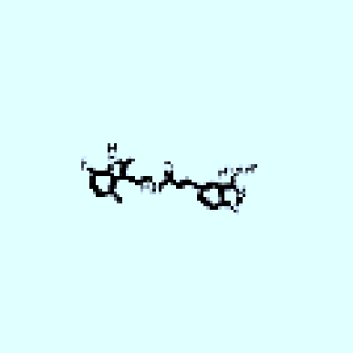 Cc1[nH]c2c(F)ccc(C)c2c1CCNC(=O)/C=C/c1ccc2ncnc(NC(C)C)c2c1